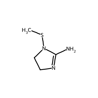 CSN1CCN=C1N